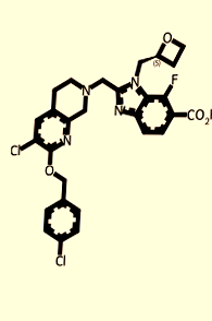 O=C(O)c1ccc2nc(CN3CCc4cc(Cl)c(OCc5ccc(Cl)cc5)nc4C3)n(C[C@@H]3CCO3)c2c1F